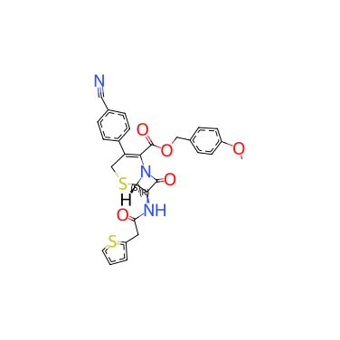 COc1ccc(COC(=O)C2=C(c3ccc(C#N)cc3)CS[C@H]3[C@H](NC(=O)Cc4cccs4)C(=O)N23)cc1